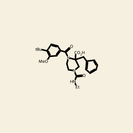 CCNC(=O)N1CCN(C(=O)c2ccc(C(C)(C)C)c(OC)c2)C(Cc2ccccc2)(C(=O)O)C1